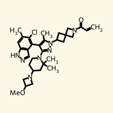 C=CC(=O)N1CC2(CC(n3nc(N4CCC(N5CC(OC)C5)CC4(C)C)c(-c4c(Cl)c(C)cc5[nH]ncc45)c3C)C2)C1